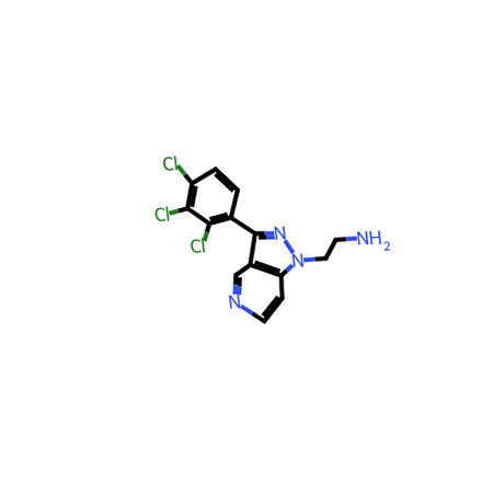 NCCn1nc(-c2ccc(Cl)c(Cl)c2Cl)c2cnccc21